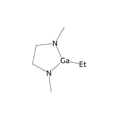 C[CH2][Ga]1[N](C)CC[N]1C